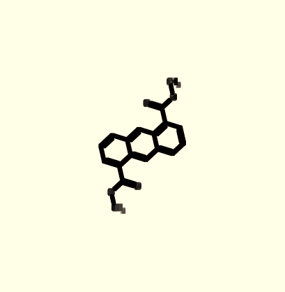 COC(=O)c1cccc2cc3c(C(=O)OC)cccc3cc12